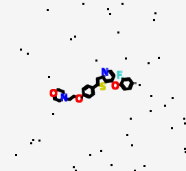 Fc1c[c]ccc1Oc1ccnc2cc(-c3ccc(OCCN4CCOCC4)cc3)sc12